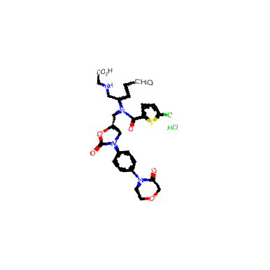 Cl.O=CCCC(CNCC(=O)O)N(C[C@H]1CN(c2ccc(N3CCOCC3=O)cc2)C(=O)O1)C(=O)c1ccc(Cl)s1